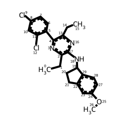 CCc1nc(-c2ccc(Cl)cc2Cl)c(CC)nc1NC1CCc2cc(OC)ccc21